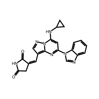 O=C1CC(=Cc2cnn3c(NC4CC4)cc(-n4cnc5ccccc54)nc23)C(=O)N1